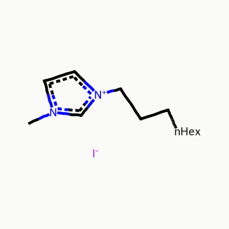 CCCCCCCCC[n+]1ccn(C)c1.[I-]